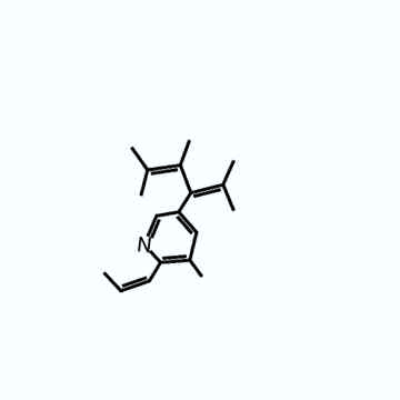 C/C=C\c1ncc(C(=C(C)C)C(C)=C(C)C)cc1C